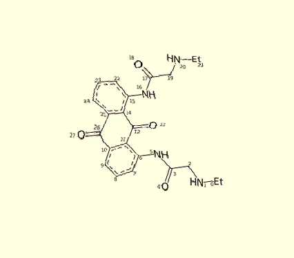 CCNCC(=O)Nc1cccc2c1C(=O)c1c(NC(=O)CNCC)cccc1C2=O